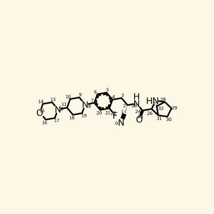 N#C[C@H](Cc1ccc(N2CCC(N3CCOCC3)CC2)cc1F)NC(=O)C1NC2CCC1C2